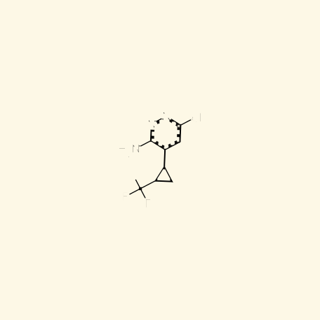 Nc1nnc(Cl)cc1C1CC1C(F)(F)F